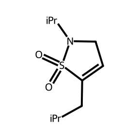 CC(C)CC1=CCN(C(C)C)S1(=O)=O